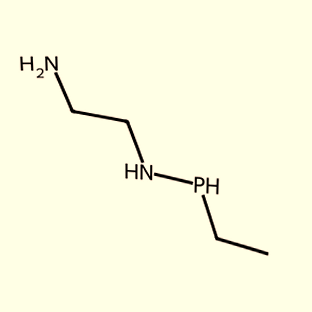 CCPNCCN